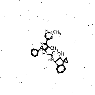 Cc1c(-c2cnn(C)c2)nn(-c2ccccc2)c1NC(=O)NC1c2ccccc2C2(CC2)[C@H]1O